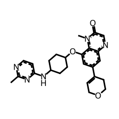 Cc1nccc(NC2CCC(Oc3cc(C4=CCOCC4)cc4ncc(=O)n(C)c34)CC2)n1